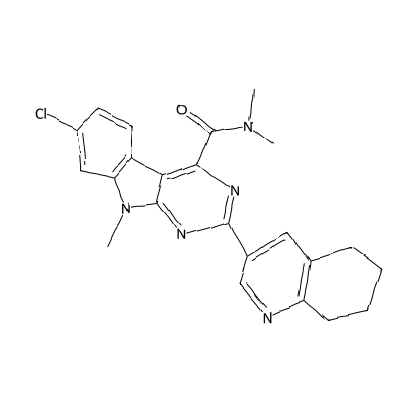 CN(C)C(=O)c1nc(-c2cnc3c(c2)CCCC3)nc2c1c1ccc(Cl)cc1n2C